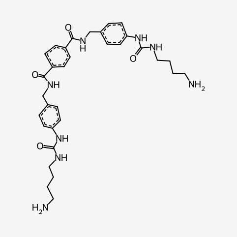 NCCCCNC(=O)Nc1ccc(CNC(=O)c2ccc(C(=O)NCc3ccc(NC(=O)NCCCCN)cc3)cc2)cc1